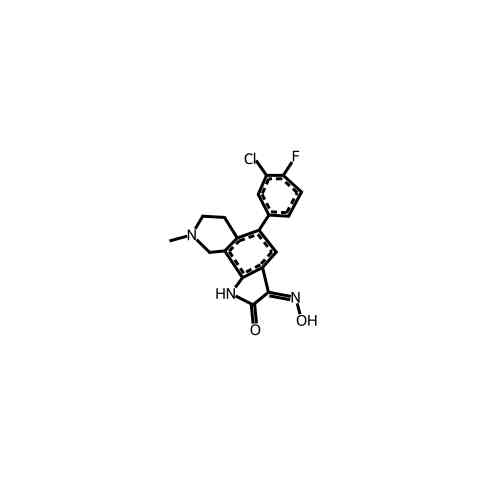 CN1CCc2c(-c3ccc(F)c(Cl)c3)cc3c(c2C1)NC(=O)/C3=N\O